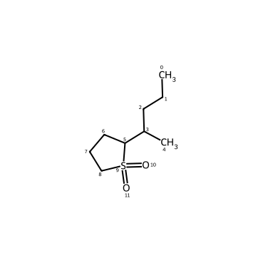 CCCC(C)C1CCCS1(=O)=O